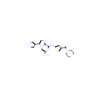 Cc1cn2c(-c3cn[nH]c3)cnc2c(Nc2cc(C(=O)N3CCOCC3)cs2)n1